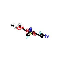 CC(=O)OCCCC(=O)OC(Cn1cncn1)(c1ccc(F)cc1F)C(C)SC1COC(C=CC=Cc2ccc(C#N)cc2F)OC1